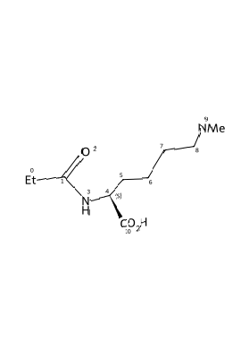 CCC(=O)N[C@@H](CCCCNC)C(=O)O